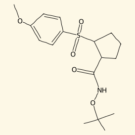 COc1ccc(S(=O)(=O)C2CCCC2C(=O)NOC(C)(C)C)cc1